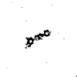 Cn1cc2cc(-n3cc4cc(C5CCNCC5)sc4n3)cc(F)c2n1